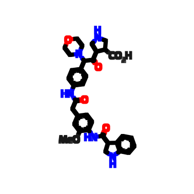 COc1cc(CC(=O)Nc2ccc(C(C(=O)C3CNCC3C(=O)O)N3CCOCC3)cc2)ccc1NC(=O)C1CNc2ccccc21